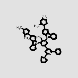 Cc1ccc(-c2ccc3c(c2)c2ccccc2n3-c2cc(-c3cc(-c4ccccc4)nc(-c4ccccc4)c3)cc(-n3c4ccccc4c4cc(-c5ccc(C)cc5C)ccc43)c2C#N)c(C)c1